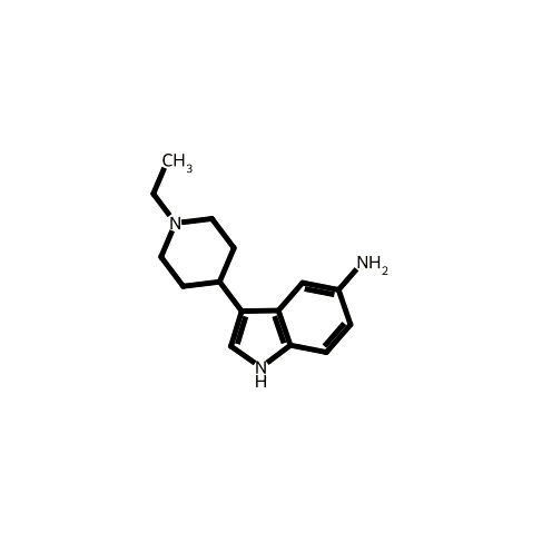 CCN1CCC(c2c[nH]c3ccc(N)cc23)CC1